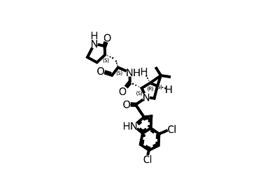 CC1(C)[C@@H]2[C@@H](C(=O)N[C@H](C=O)C[C@@H]3CCNC3=O)N(C(=O)c3cc4c(Cl)cc(Cl)cc4[nH]3)C[C@@H]21